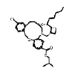 CCC/C=C/[C@H](O)[C@@H]1CC[C@H]1CN1CCCCc2cc(Cl)ccc2COc2ccc(C(=O)OCC(C)C)cc21